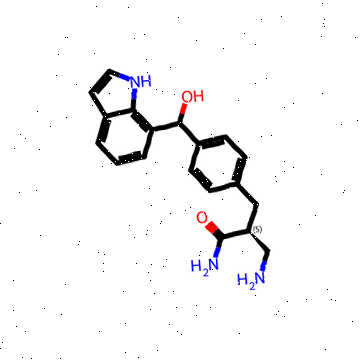 NC[C@H](Cc1ccc(C(O)c2cccc3cc[nH]c23)cc1)C(N)=O